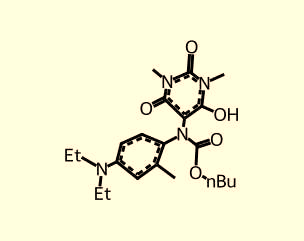 CCCCOC(=O)N(c1ccc(N(CC)CC)cc1C)c1c(O)n(C)c(=O)n(C)c1=O